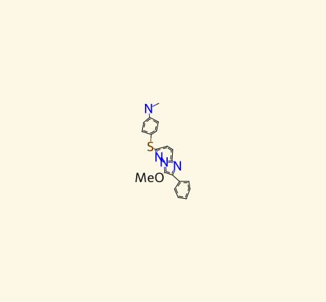 COc1c(-c2ccccc2)nc2ccc(Sc3ccc(N(C)C)cc3)nn12